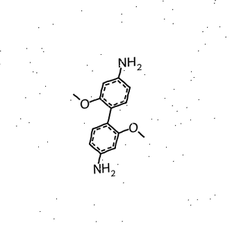 COc1cc(N)ccc1-c1ccc(N)cc1OC